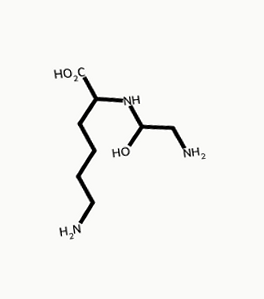 NCCCCC(NC(O)CN)C(=O)O